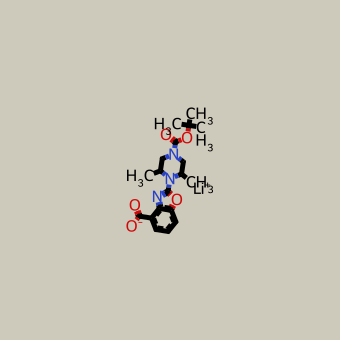 CC1CN(C(=O)OC(C)(C)C)CC(C)N1c1nc2c(C(=O)[O-])cccc2o1.[Li+]